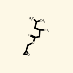 CC(C)CC(C)CC(=O)OCC1CO1